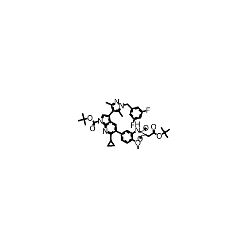 COc1ccc(-c2cc3c(-c4c(C)nn(Cc5cc(F)cc(F)c5)c4C)cn(C(=O)OC(C)(C)C)c3nc2C2CC2)cc1NS(=O)(=O)CC(=O)OC(C)(C)C